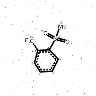 [NH]S(=O)(=O)c1ccccc1C(F)(F)F